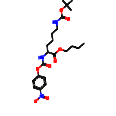 CCCCOC(=O)C(CCCCNC(=O)OC(C)(C)C)NC(=O)Oc1ccc([N+](=O)[O-])cc1